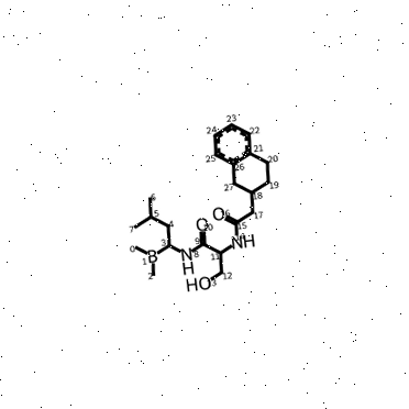 CB(C)C(CC(C)C)NC(=O)C(CO)NC(=O)CC1CCc2ccccc2C1